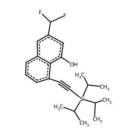 CC(C)[Si](C#Cc1cccc2cc(C(F)F)cc(O)c12)(C(C)C)C(C)C